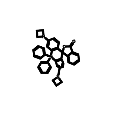 O=C1OC2(c3ccccc31)c1ccc(N3CCC3)cc1[Si](c1ccccc1)(c1ccccc1)c1cc(N3CCC3)ccc12